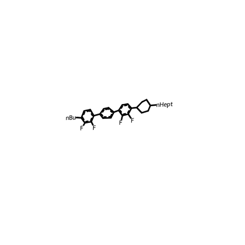 CCCCCCCC1CCC(c2ccc(-c3ccc(-c4ccc(CCCC)c(F)c4F)cc3)c(F)c2F)CC1